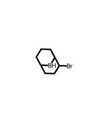 BrC1CCC2BC1CCC2